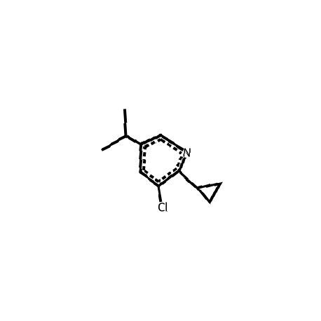 CC(C)c1cnc(C2CC2)c(Cl)c1